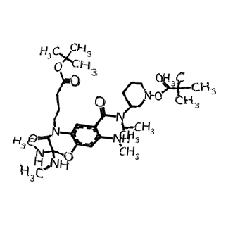 CNc1cc2c(cc1C(=O)N(C(C)C)C1CCCN(OC(=O)C(C)(C)C)C1)N(CCCC(=O)OC(C)(C)C)C(=O)C(NC)(NC)O2